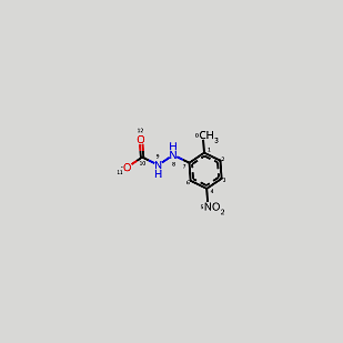 Cc1ccc([N+](=O)[O-])cc1NNC([O])=O